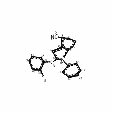 N#Cc1cccc2c1cc(Oc1ccccc1F)n2-c1ccccc1